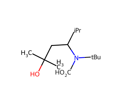 CC(C)C(CC(C)(C)O)N(C(=O)O)C(C)(C)C